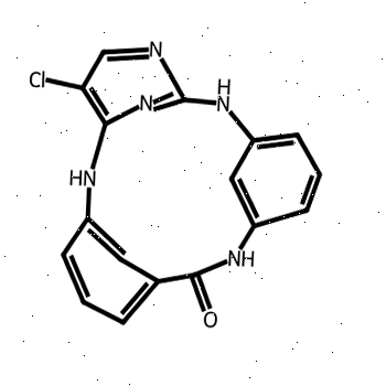 O=C1Nc2cccc(c2)Nc2ncc(Cl)c(n2)Nc2cccc1c2